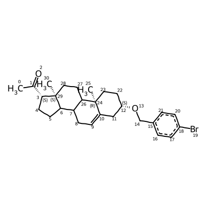 CC(=O)[C@H]1CCC2C3CC=C4C[C@@H](OCc5ccc(Br)cc5)CC[C@]4(C)C3CC[C@@]21C